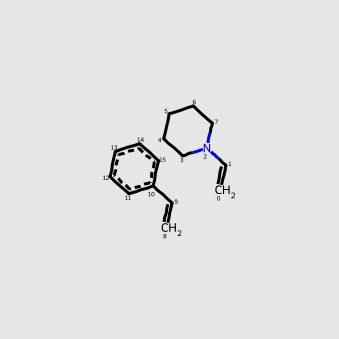 C=CN1CCCCC1.C=Cc1ccccc1